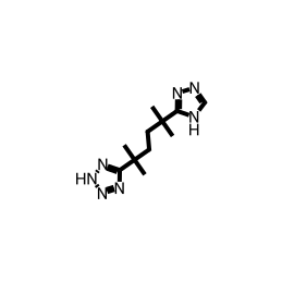 CC(C)(CCC(C)(C)c1nnc[nH]1)c1nn[nH]n1